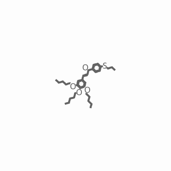 CCCCCOc1cc(C=CC(=O)c2ccc(SCCC)cc2)cc(OCCCCC)c1OCCCCC